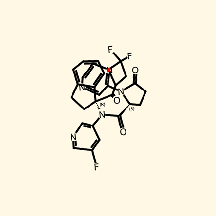 O=C1CC[C@@H](C(=O)N(c2cncc(F)c2)[C@]2(C(=O)C3CC(F)(F)C3)CCc3ccccc32)N1c1cnccn1